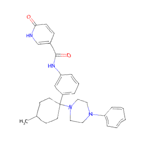 CC1CCC(c2cccc(NC(=O)c3ccc(=O)[nH]c3)c2)(N2CCN(c3ccccc3)CC2)CC1